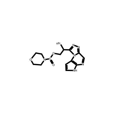 CCCC(COS(=O)N1CCOCC1)c1nnc2cnc3[nH]ccc3n12